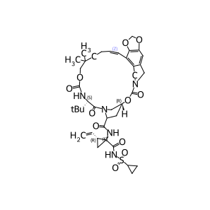 C=C[C@H]1C[C@@]1(NC(=O)C1C[C@@H]2CN1C(=O)[C@H](C(C)(C)C)NC(=O)OCC(C)(C)CC/C=C\c1c3c(cc4c1OCO4)CN(C3)C(=O)O2)C(=O)NS(=O)(=O)C1CC1